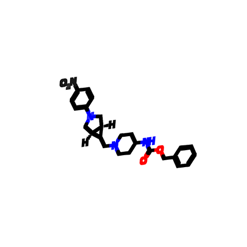 O=C(NC1CCN(CC2[C@H]3CN(c4ccc([N+](=O)[O-])cc4)C[C@@H]23)CC1)OCc1ccccc1